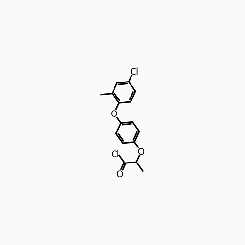 Cc1cc(Cl)ccc1Oc1ccc(OC(C)C(=O)Cl)cc1